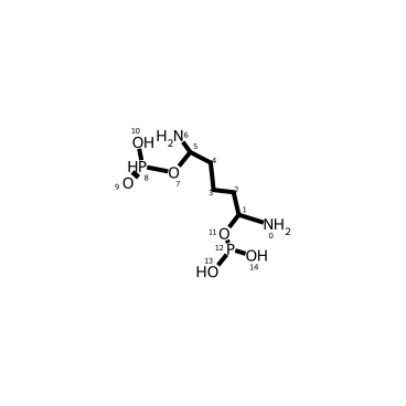 NC(CCCC(N)O[PH](=O)O)OP(O)O